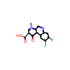 Cn1cc(C(=O)O)c(=O)c2c3cc(F)c(F)cc3ncc21